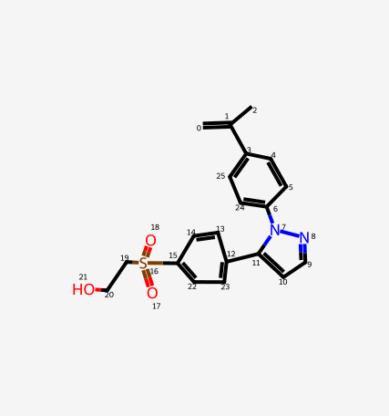 C=C(C)c1ccc(-n2nccc2-c2ccc(S(=O)(=O)CCO)cc2)cc1